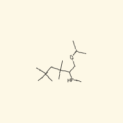 CPC(COC(C)C)C(C)(C)CC(C)(C)C